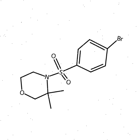 CC1(C)COCCN1S(=O)(=O)c1ccc(Br)cc1